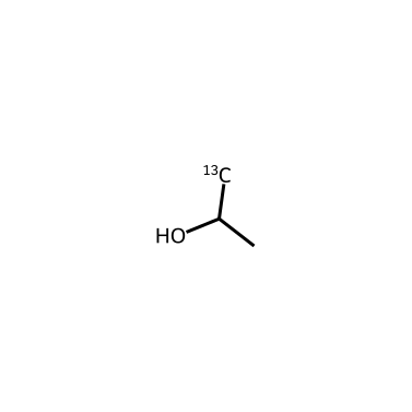 CC([13CH3])O